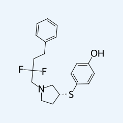 Oc1ccc(S[C@@H]2CCN(CC(F)(F)CCc3ccccc3)C2)cc1